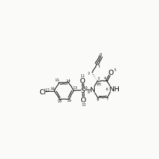 C#CC[C@@H]1C(=O)NC=CN1S(=O)(=O)c1ccc(Cl)cc1